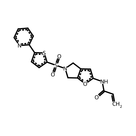 C=CC(=O)Nc1cc2c(o1)CN(S(=O)(=O)c1ccc(-c3ccccn3)s1)C2